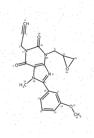 C#CCn1c(=O)c2c(nc(-c3cccc(OC)c3)n2C)n(CC2CO2)c1=O